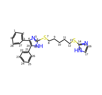 c1ccc(-c2nc(SCCCCCSc3ncc[nH]3)[nH]c2-c2ccccc2)cc1